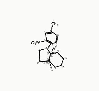 O=[N+]([O-])c1cc(C(F)(F)F)ccc1N1CCC[C@H]2CCCC[C@@H]21